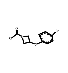 O=C(Cl)N1CC(Oc2ccc(Br)cc2)C1